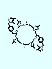 Cc1cnn(Cc2ccc(C[C@@H]3CN(C)[C@@H](CC(C)C)CO[C@H](C)CN(C)[C@@H](CC(C)C)CO[C@H](Cc4ccc(Cn5ncc(C)c5C)cc4)CN(C)[C@@H](CC(C)C)CO[C@H](C)CN(C)[C@@H](CC(C)C)CO3)cc2)c1C